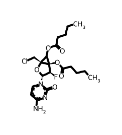 CCCCC(=O)OC1[C@@]2(CCl)O[C@@H](n3ccc(N)nc3=O)[C@H](F)[C@@]12OC(=O)CCCC